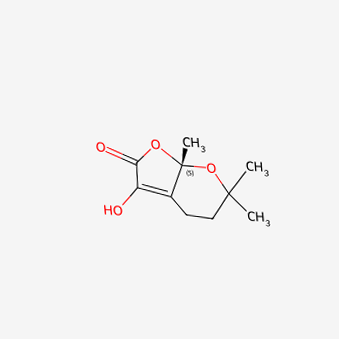 CC1(C)CCC2=C(O)C(=O)O[C@]2(C)O1